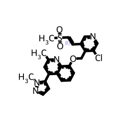 Cc1cc(-c2ccnn2C)c2cccc(OCc3c(Cl)cncc3/C=C/S(C)(=O)=O)c2n1